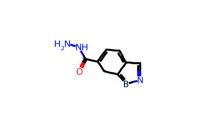 NNC(=O)C1=CC=C2C=NB=C2C1